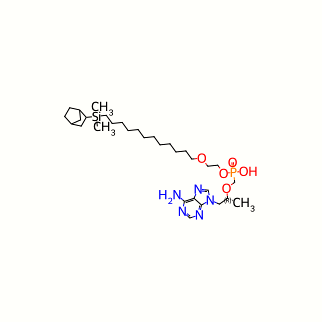 C[C@H](Cn1cnc2c(N)ncnc21)OCP(=O)(O)OCCOCCCCCCCCCCCC[Si](C)(C)C1CC2CCC1C2